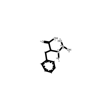 O=C(O)C(Cc1ccccc1)N([18F])[10B](O)O